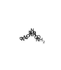 NC(=O)OCCn1ccc2ncnc(Nc3ccc4c(ccn4Cc4ccccn4)c3)c21